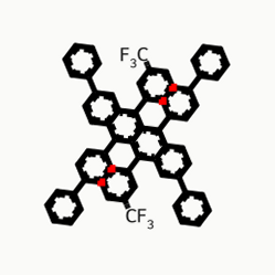 FC(F)(F)c1cccc(-c2c3cc(-c4ccccc4)ccc3c(-c3ccc(-c4ccccc4)cc3)c3c(-c4cccc(C(F)(F)F)c4)c4cc(-c5ccccc5)ccc4c(-c4ccc(-c5ccccc5)cc4)c23)c1